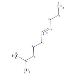 CCC/C=C/CCCC(C)C